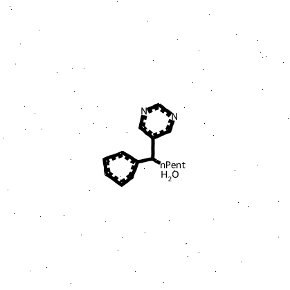 CCCCCC(c1ccccc1)c1cncnc1.O